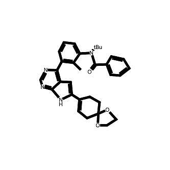 Cc1c(-c2ncnc3[nH]c(C4=CCC5(CC4)OCCO5)cc23)cccc1N(C(=O)c1ccccc1)C(C)(C)C